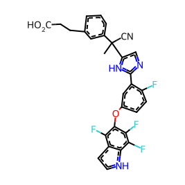 CC(C#N)(c1cccc(CCC(=O)O)c1)c1cnc(-c2cc(Oc3c(F)c(F)c4[nH]ccc4c3F)ccc2F)[nH]1